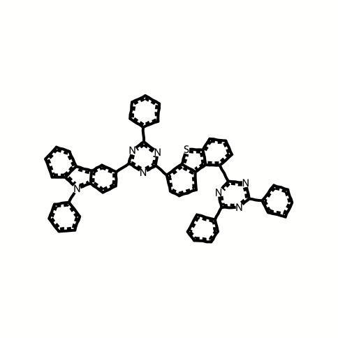 c1ccc(-c2nc(-c3ccc4c(c3)c3ccccc3n4-c3ccccc3)nc(-c3cccc4c3sc3cccc(-c5nc(-c6ccccc6)nc(-c6ccccc6)n5)c34)n2)cc1